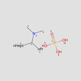 CCCCCCCC(CCC)N(C)C.O=P(O)(O)O